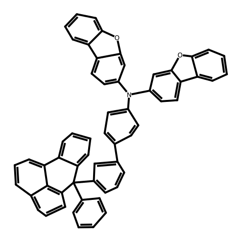 c1ccc(C2(c3cccc(-c4ccc(N(c5ccc6c(c5)oc5ccccc56)c5ccc6c(c5)oc5ccccc56)cc4)c3)c3ccccc3-c3cccc4cccc2c34)cc1